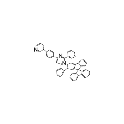 c1ccc(-c2nc(-c3ccc(-c4cccnc4)cc3)cc(-c3ccccc3-c3ccc4c(c3)C3(c5ccccc5-c5ccccc53)c3ccccc3-4)n2)cc1